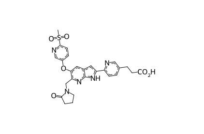 CS(=O)(=O)c1ccc(Oc2cc3cc(-c4ccc(CCC(=O)O)cn4)[nH]c3nc2CN2CCCC2=O)cn1